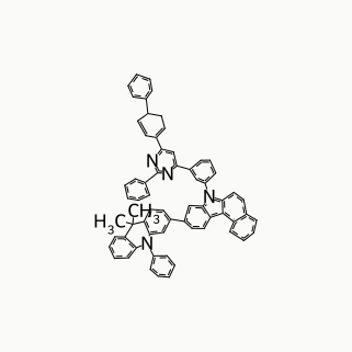 CC1(C)c2ccccc2N(c2ccccc2)c2cc(-c3ccc4c5c6ccccc6ccc5n(-c5cccc(-c6cc(C7=CCC(c8ccccc8)C=C7)nc(-c7ccccc7)n6)c5)c4c3)ccc21